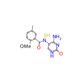 COc1ccc(C)cc1C(=O)N(S)c1c[nH]c(=O)nc1N